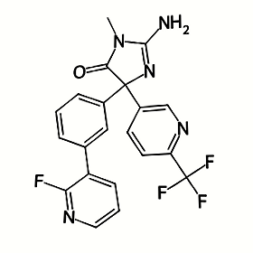 CN1C(=O)C(c2ccc(C(F)(F)F)nc2)(c2cccc(-c3cccnc3F)c2)N=C1N